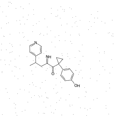 CC(CC(=N)C(=O)C1(c2ccc(O)cc2)CC1)c1ccncc1